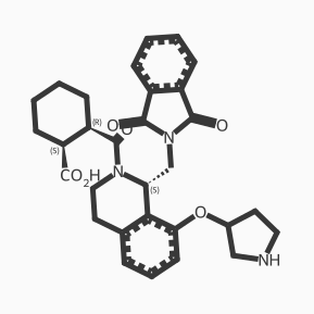 O=C(O)[C@H]1CCCC[C@H]1C(=O)N1CCc2cccc(OC3CCNC3)c2[C@H]1CN1C(=O)c2ccccc2C1=O